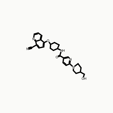 N#Cc1ccc(OC2CCC(NC(=O)c3ccc(N4CCC(CO)CC4)nc3)CC2)c2cccnc12